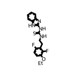 CCOc1ccc(F)c(CCNC(=S)Nc2nc3ccccc3[nH]2)c1F